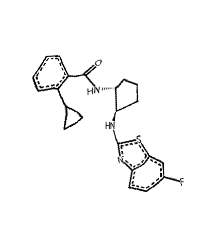 O=C(N[C@@H]1CCC[C@H]1Nc1nc2ccc(F)cc2s1)c1ccccc1C1CC1